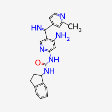 Cc1cc(C(=N)c2cnc(NC(=O)NC3CCc4ccccc43)cc2N)ccn1